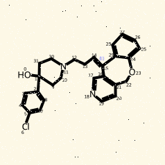 OC1(c2ccc(Cl)cc2)CCN(CC/C=C2\c3cnccc3COc3ccccc32)CC1